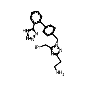 CC(C)Cc1nc(CCN)nn1Cc1ccc(-c2ccccc2-c2nnn[nH]2)cc1